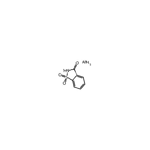 O=C1NS(=O)(=O)c2ccccc21.[AlH3]